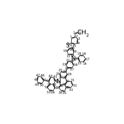 C=Cc1ccc2c(c1)sc1ccc(N(c3ccccc3)c3ccc(-c4ccc5c(c4)-c4cccc6cccc(c46)N5c4ccc(-c5ccccc5)c5ccccc45)cc3)cc12